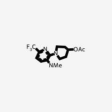 CNc1ccc(C(F)(F)F)nc1N1CCC(OC(C)=O)CC1